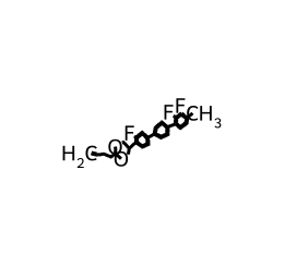 C=CCCC1OCC(c2ccc(-c3ccc(-c4ccc(C)c(F)c4F)cc3)cc2F)CO1